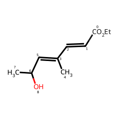 CCOC(=O)/C=C/C(C)=C/C(C)O